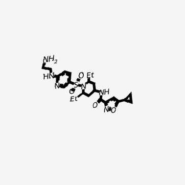 CCC1CC(NC(=O)c2cc(C3CC3)on2)CC(CC)N1S(=O)(=O)c1ccc(NCCN)nc1